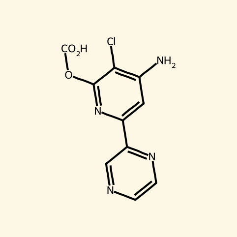 Nc1cc(-c2cnccn2)nc(OC(=O)O)c1Cl